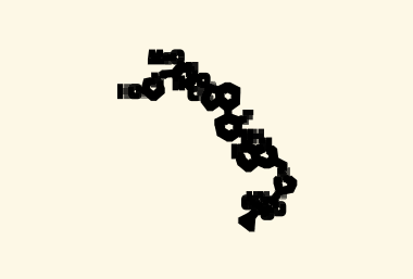 COc1nc(O[C@@H]2CCc3c(-c4cccc(Nc5nccc6cc(CN7CC[C@@H](C(=O)NS(=O)(=O)C8CC8)C7)cnc56)c4F)cccc32)c(C(F)(F)F)nc1CN1CC[C@@H](O)C1